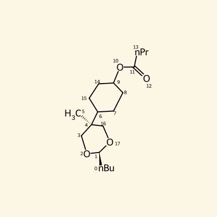 CCCC[C@H]1OC[C@@](C)(C2CCC(OC(=O)CCC)CC2)CO1